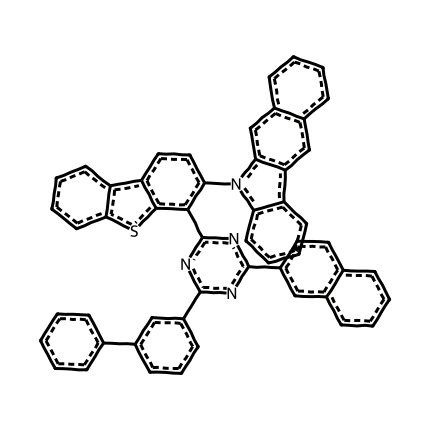 c1ccc(-c2cccc(-c3nc(-c4ccc5ccccc5c4)nc(-c4c(-n5c6ccccc6c6cc7ccccc7cc65)ccc5c4sc4ccccc45)n3)c2)cc1